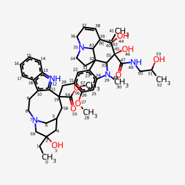 CCC1(O)CC2CN(CCc3c([nH]c4ccccc34)C(Cc3cc4c(cc3OC)N(C)C3C45CCN4CC=C[C@](CC)(C45)[C@@H](O)[C@]3(O)C(=O)NCC(C)O)(C(=O)OC)C2)C1